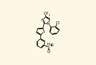 O=[SH](=O)c1cccc(-c2ccc(-c3nc(C(F)(F)F)cn3-c3ccccc3Cl)s2)c1